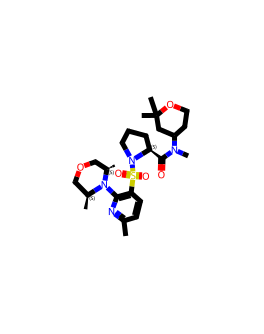 Cc1ccc(S(=O)(=O)N2CCC[C@H]2C(=O)N(C)C2CCOC(C)(C)C2)c(N2[C@@H](C)COC[C@@H]2C)n1